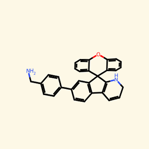 NCc1ccc(-c2ccc3c(c2)C2(C4=C3C=CCN4)c3ccccc3Oc3ccccc32)cc1